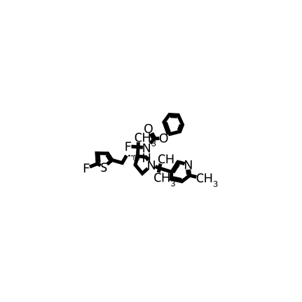 Cc1ccc(C(C)(C)N2CC[C@@](CCc3ccc(F)s3)(C(C)(F)NC(=O)Oc3ccccc3)C2)cn1